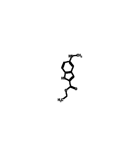 CCOC(=O)c1cc2cc(NC)ccc2[nH]1